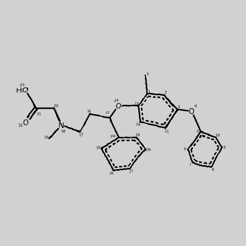 Cc1cc(Oc2ccccc2)ccc1OC(CCN(C)CC(=O)O)c1ccccc1